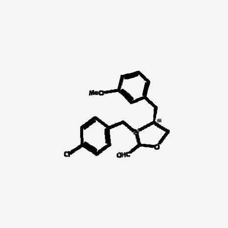 COc1cccc(C[C@H]2COC(C=O)N2Cc2ccc(Cl)cc2)c1